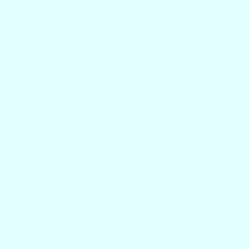 CCCC1=CC(c2ccccc2)c2cccc(Br)c21